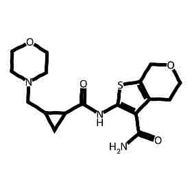 NC(=O)c1c(NC(=O)C2CC2CN2CCOCC2)sc2c1CCOC2